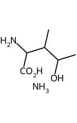 CC(O)C(C)C(N)C(=O)O.N